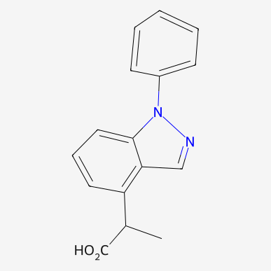 CC(C(=O)O)c1cccc2c1cnn2-c1ccccc1